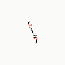 C#COC(=O)CCCCCCCCC(=O)OC#CC